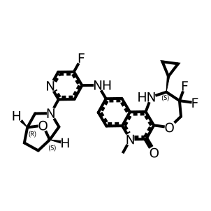 Cn1c(=O)c2c(c3cc(Nc4cc(N5C[C@H]6CC[C@@H](C5)O6)ncc4F)ccc31)N[C@@H](C1CC1)C(F)(F)CO2